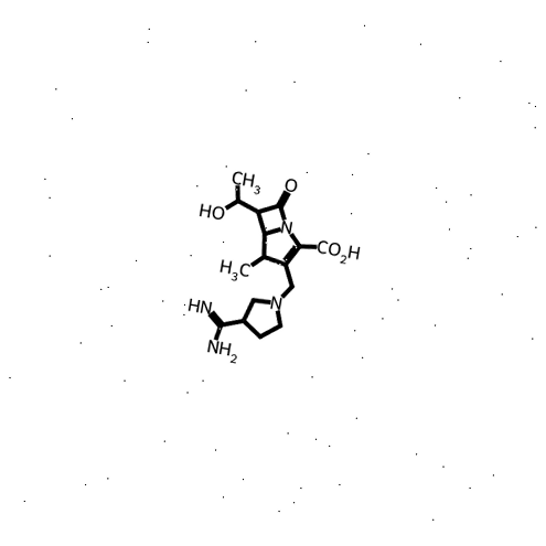 CC(O)C1C(=O)N2C(C(=O)O)=C(CN3CCC(C(=N)N)C3)C(C)C12